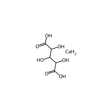 O=C(O)C(O)C(O)C(O)C(=O)O.[CaH2]